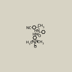 CC(CNC(C(=O)Nc1ccc2c(c1)N(C)C(=C=O)N2C)c1ccccc1)c1ccc(C#N)cc1